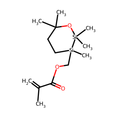 C=C(C)C(=O)OC[Si]1(C)CCC(C)(C)O[Si]1(C)C